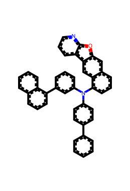 c1ccc(-c2ccc(N(c3cccc(-c4cccc5ccccc45)c3)c3cccc4cc5oc6ncccc6c5cc34)cc2)cc1